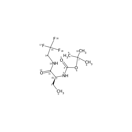 CC[C@H](NC(=O)OC(C)(C)C)C(=O)NCC(F)(F)F